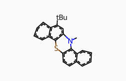 CN1c2cc(C(C)(C)C)c3ccccc3c2Sc2ccc3ccccc3c21